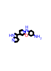 NC1CCC(Nn2ccc(-c3c[nH]c4ncccc34)cc2=O)CC1